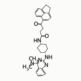 CN(C)c1nc(N[C@H]2CC[C@@H](NC(=O)CCC(=O)c3ccc4c5c(cccc35)CC4)CC2)nc2ccccc12